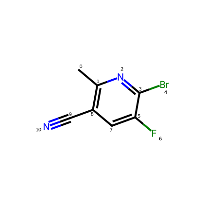 Cc1nc(Br)c(F)cc1C#N